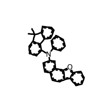 CC1(C)c2ccccc2-c2c(N(c3ccccc3)c3ccc4ccc5c6ccccc6oc5c4c3)cccc21